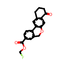 O=C(OCF)c1ccc2c(c1)COc1cc3c(cc1-2)CCCC3=O